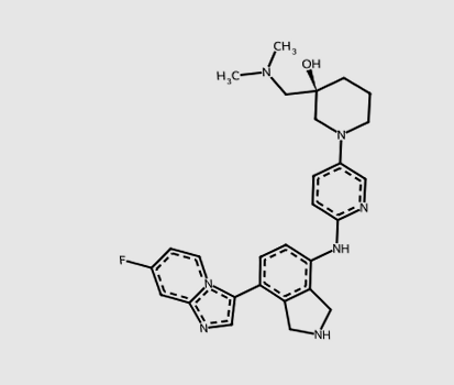 CN(C)C[C@]1(O)CCCN(c2ccc(Nc3ccc(-c4cnc5cc(F)ccn45)c4c3CNC4)nc2)C1